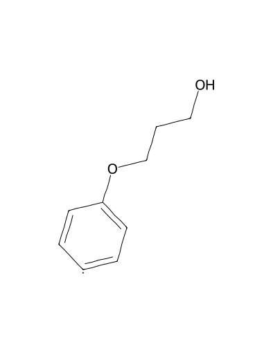 OCCCOc1cc[c]cc1